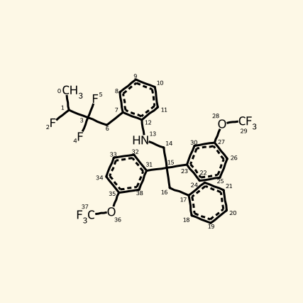 CC(F)C(F)(F)Cc1ccccc1NCC(Cc1ccccc1)(c1cccc(OC(F)(F)F)c1)c1cccc(OC(F)(F)F)c1